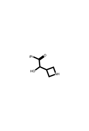 CC(C)C(=O)C(O)C1CNC1